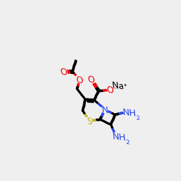 CC(=O)OCC1=C(C(=O)[O-])N2C(N)C(N)C2SC1.[Na+]